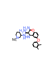 Cc1cccc(Oc2cccc(C(=N)/C(C(N)=O)=C(/N)NC3CCCN(C#N)C3)c2)c1C